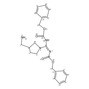 NCC1CCN(/C(=N\C(=O)OCc2ccccc2)NC(=O)OCc2ccccc2)C1